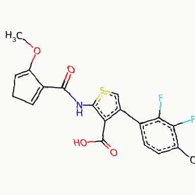 COC1=CCC=C1C(=O)Nc1scc(-c2ccc(C)c(F)c2F)c1C(=O)O